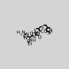 CCON=C(C(=O)NC1C(=O)N2C(C(=O)O)=C(CS/C=C\c3ccc(C)nc3)CS[C@@H]12)c1nsc(N)n1